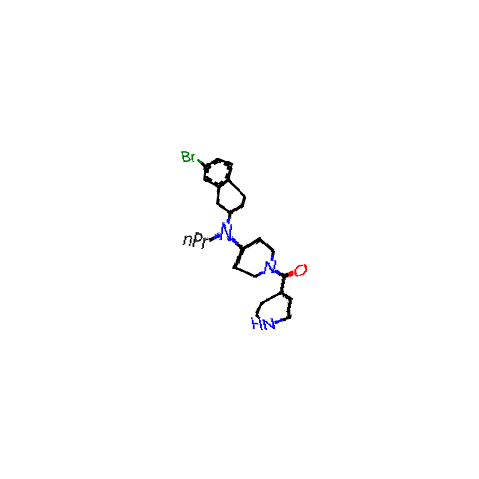 CCCN(C1CCN(C(=O)C2CCNCC2)CC1)C1CCc2ccc(Br)cc2C1